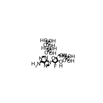 Nc1ncnc2c1ncn2[C@@H]1O[C@H](CO)[C@@H](O)[C@@H]1F.O=P(O)(O)O.O=P(O)(O)O.O=P(O)(O)O